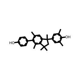 Cc1cc(C2(C)CC(C)(C)c3c2cc(C)c(-c2ccc(O)cc2)c3C)cc(C)c1O